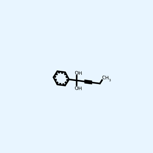 CCC#CC(O)(O)c1ccccc1